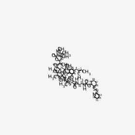 C/C=C(\C)Cc1cc(OC)c(Cl)c(N(C)C(=O)C[C@H](OC(=O)[C@H](C)N(C)C(=O)CCC(C)(C)SCC(=O)NCCNC(=O)O[C@H]2CCCC[C@@H]2SSc2ccccn2)C2(C)O[C@H]2[C@H](C)[C@@H]2C[C@](O)([C@@H](C)OC)NC(=O)O2)c1